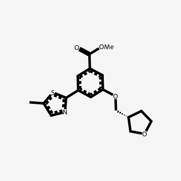 COC(=O)c1cc(OC[C@@H]2CCOC2)cc(-c2ncc(C)s2)c1